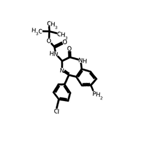 CC(C)(C)OC(=O)NC1N=C(c2ccc(Cl)cc2)c2cc(P)ccc2NC1=O